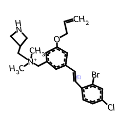 C=CCOc1cc(/C=C/c2ccc(Cl)cc2Br)cc(C[N+](C)(C)CC2CNC2)c1